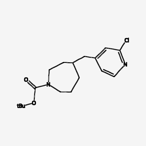 CC(C)(C)OC(=O)N1CCCC(Cc2ccnc(Cl)c2)CC1